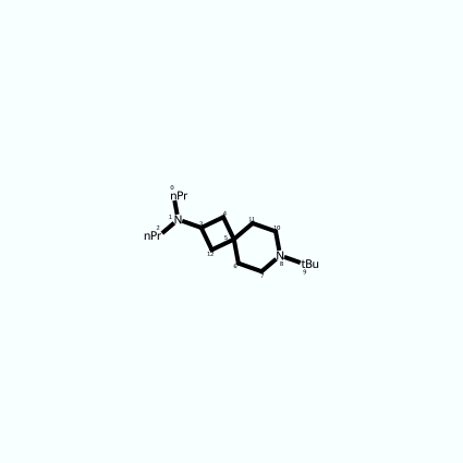 CCCN(CCC)C1CC2(CCN(C(C)(C)C)CC2)C1